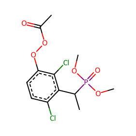 COP(=O)(OC)C(C)c1c(Cl)ccc(OOC(C)=O)c1Cl